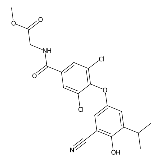 COC(=O)CNC(=O)c1cc(Cl)c(Oc2cc(C#N)c(O)c(C(C)C)c2)c(Cl)c1